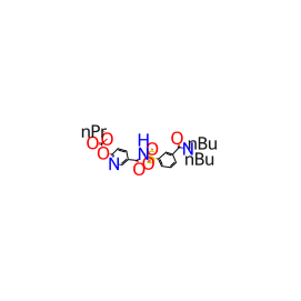 CCCCN(CCCC)C(=O)c1cccc(S(=O)(=O)NC(=O)c2ccc(OC(=O)OCCC)nc2)c1